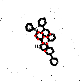 C=C/C=C\C(=C(/C)N(c1ccccc1)c1ccc(C2=CCCC=C2)cc1)c1cccc(-c2ccccc2N(c2ccccc2)c2ccc(-c3ccccc3)cc2)c1